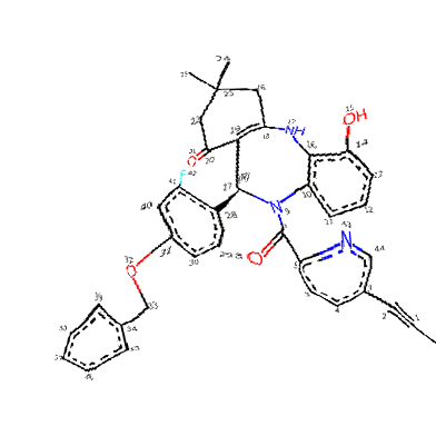 CC#Cc1ccc(C(=O)N2c3cccc(O)c3NC3=C(C(=O)CC(C)(C)C3)[C@@H]2c2ccc(OCc3ccccc3)cc2F)nc1